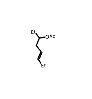 CC/C=C/CC(CC)OC(C)=O